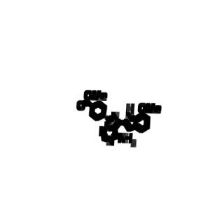 COc1cccc2cc(-c3nc([C@H]4CC[C@H](C(=O)OC)CC4)n4ncnc(N)c34)[nH]c12